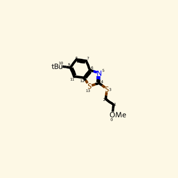 COCCSc1nc2ccc(C(C)(C)C)cc2s1